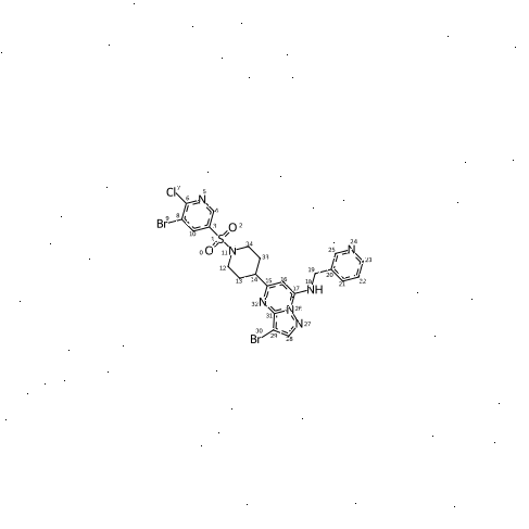 O=S(=O)(c1cnc(Cl)c(Br)c1)N1CCC(c2cc(NCc3cccnc3)n3ncc(Br)c3n2)CC1